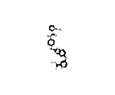 CNC(=O)c1cc(Oc2ccc3nc(N[C@H]4CC[C@@H](NC(=O)[C@@H]5CCCN5C)CC4)sc3c2)ccn1